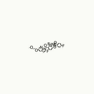 COCCOc1cnc2c(ccn2C(=O)c2c(F)ccc(NS(=O)(=O)c3ccc(F)cc3)c2F)c1